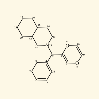 C1=CCCC(C(C2=COC=CO2)N2CCC3CCCCC3C2)=C1